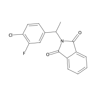 CC(c1ccc(Cl)c(F)c1)N1C(=O)c2ccccc2C1=O